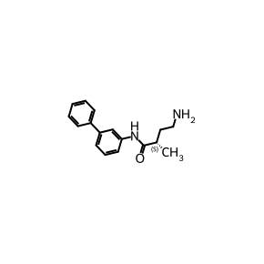 C[C@@H](CCN)C(=O)Nc1cccc(-c2ccccc2)c1